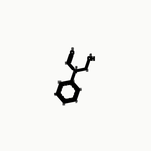 O=CN(CO)c1ccccc1